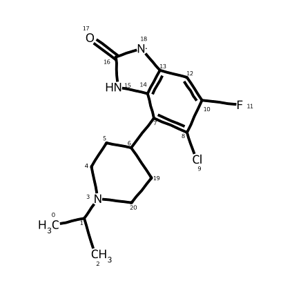 CC(C)N1CCC(c2c(Cl)c(F)cc3c2NC(=O)[N]3)CC1